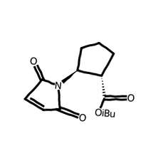 CC(C)COC(=O)[C@H]1CCC[C@@H]1N1C(=O)C=CC1=O